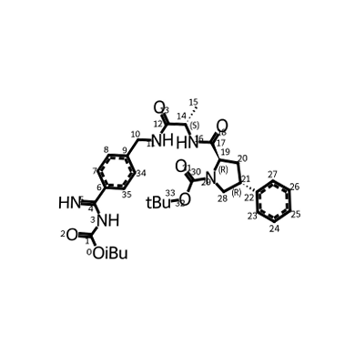 CC(C)COC(=O)NC(=N)c1ccc(CNC(=O)[C@H](C)NC(=O)[C@H]2C[C@H](c3ccccc3)CN2C(=O)OC(C)(C)C)cc1